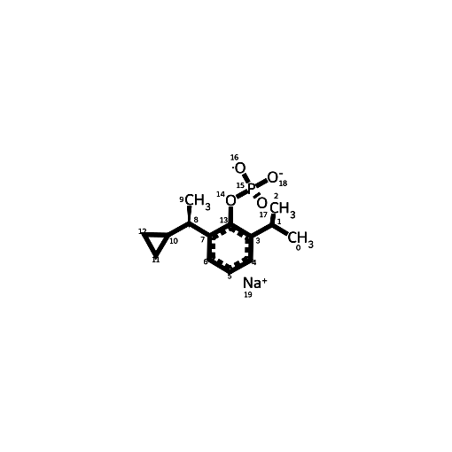 CC(C)c1cccc([C@H](C)C2CC2)c1OP([O])(=O)[O-].[Na+]